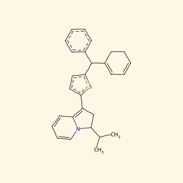 CC(C)C1CC(c2ccc(C(C3=CC=CCC3)c3ccccc3)s2)=C2C=CC=CN21